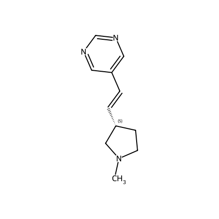 CN1CC[C@@H](C=Cc2cncnc2)C1